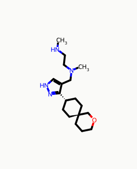 CNCCN(C)Cc1c[nH]nc1[C@H]1CC[C@@]2(CCCOC2)CC1